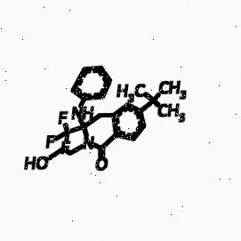 CC(C)(C)c1ccc2c(c1)CC(Nc1ccccc1)(C(F)(F)F)N(CCO)C2=O